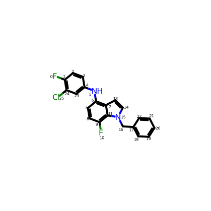 Fc1ccc(Nc2ccc(F)c3c2ccn3Cc2ccccc2)cc1Cl